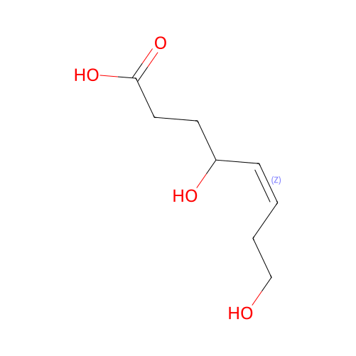 O=C(O)CCC(O)/C=C\CCO